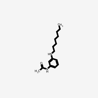 CCCCCCCCNc1cccc(NC(C)=O)c1